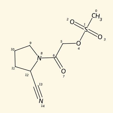 CS(=O)(=O)OCC(=O)N1CCCC1C#N